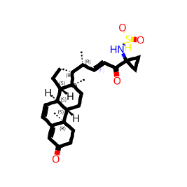 C[C@H](/C=C/C(=O)C1(N[SH](=O)=O)CC1)[C@H]1CC[C@H]2[C@@H]3C=CC4=CC(=O)CC[C@]4(C)[C@H]3CC[C@]12C